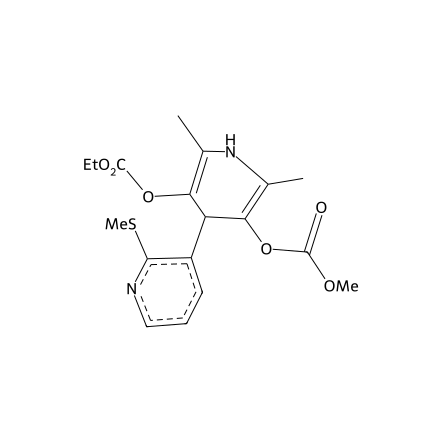 CCOC(=O)OC1=C(C)NC(C)=C(OC(=O)OC)C1c1cccnc1SC